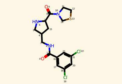 O=C(NCC1CNC(C(=O)N2CCSC2)C1)c1cc(Cl)cc(Cl)c1